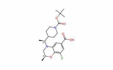 C[C@H]1CN([C@@H](C)C2CCN(C(=O)OC(C)(C)C)CC2)c2cc(C(=O)O)cc(F)c2O1